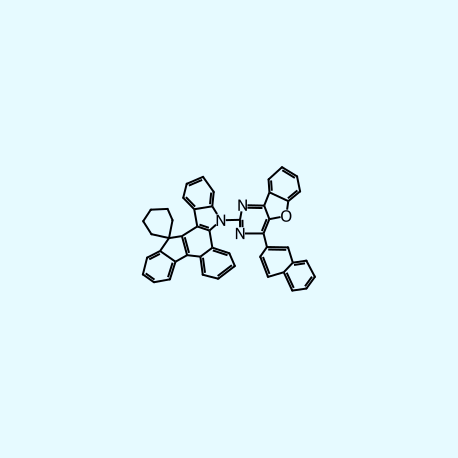 c1ccc2c(c1)-c1c(c3c4ccccc4n(-c4nc(-c5ccc6ccccc6c5)c5oc6ccccc6c5n4)c3c3ccccc13)C21CCCCC1